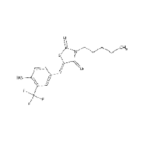 CCCCCN1C(=O)S/C(=C\c2ccc(O)c(C(F)(F)F)c2)C1=O